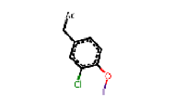 CC(=O)Cc1ccc(OI)c(Cl)c1